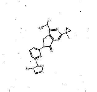 CC[C@H](N)c1nc(C2(C)CC2)cc2c1CN(c1cccc(-c3nncn3CC)n1)C2=O